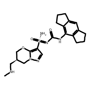 CNC[C@H]1COc2c([S@@](N)(=O)=NC(=O)Nc3c4c(cc5c3CCC5)CCC4)cnn2C1